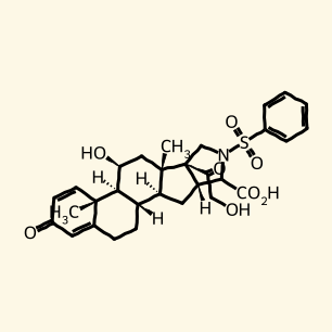 C[C@]12C=CC(=O)C=C1CC[C@@H]1[C@@H]2[C@@H](O)C[C@@]2(C)[C@H]1C[C@H]1C(C(=O)O)N(S(=O)(=O)c3ccccc3)C[C@]12C(=O)CO